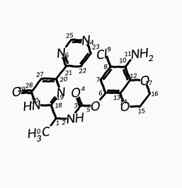 CC(NC(=O)Oc1cc(Cl)c(N)c2c1OCCO2)c1nc(-c2ccncn2)cc(=O)[nH]1